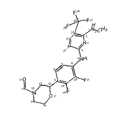 CNc1nc(Nc2ccc(C3CN(C=O)CCO3)c(F)c2F)ncc1C(F)(F)F